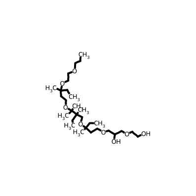 CCCOCCOC(C)(CC)CCOC(C)(C)C(C)(CC)COC(C)(CC)CCOCC(O)COCCO